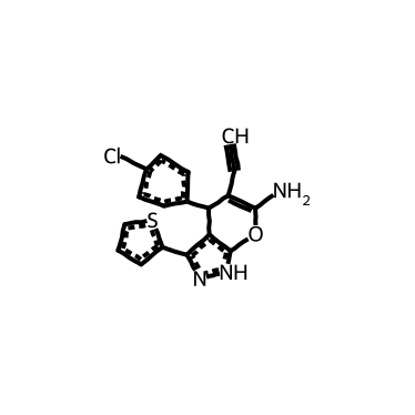 C#CC1=C(N)Oc2[nH]nc(-c3cccs3)c2C1c1ccc(Cl)cc1